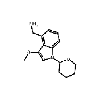 COc1nn(C2CCCCO2)c2cccc(CN)c12